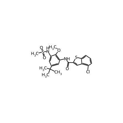 COc1c(NC(=O)c2cc3c(Cl)cccc3s2)cc(C(C)(C)C)cc1NS(C)(=O)=O